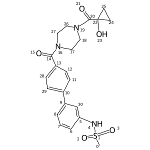 CS(=O)(=O)Nc1cccc(-c2ccc(C(=O)N3CCN(C(=O)C4(O)CC4)CC3)cc2)c1